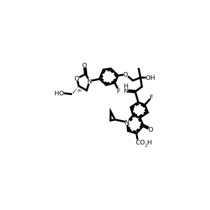 CC(O)(COc1ccc(N2C[C@H](CO)OC2=O)cc1F)CC(=N)c1cc2c(cc1F)c(=O)c(C(=O)O)cn2C1CC1